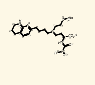 CCN(C(=O)N[C@@H](CCN(CCCCc1ccc2c(n1)NCCC2)CCOC(C)(C)C)C(=O)O)C(C)C